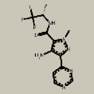 C[C@H](NC(=O)c1c(N)c(-c2ccncn2)nn1C)C(F)(F)F